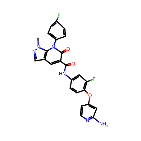 Cn1ncc2cc(C(=O)Nc3ccc(Oc4ccnc(N)c4)c(F)c3)c(=O)n(-c3ccc(F)cc3)c21